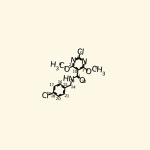 COc1nc(Cl)nc(OC)c1C(=O)NCc1ccc(Cl)cc1